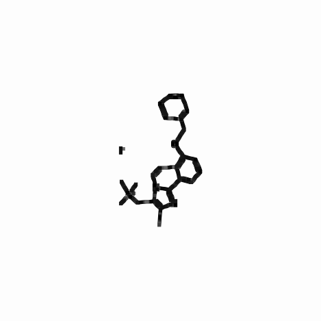 Cc1nc2c3cccc(OCc4ccccc4)c3ccn2c1C[N+](C)(C)C.[I-]